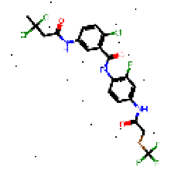 CC(Cl)(Cl)CC(=O)Nc1ccc(Cl)c(C(=O)Nc2ccc(NC(=O)CSC(F)(F)F)cc2F)c1